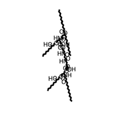 CCCCCC/C=C/CCCC(=O)OC(CCCCCCCCCCC)CC(=O)NC(COCC[C@H](O)CCCCCCC)COP(=O)(O)OCCNC(=O)CC(=O)NCCOP(=O)(O)OCC(COCC[C@H](O)CCCCCCC)NC(=O)CC(=O)CCCCCCCCCCC